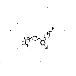 O=C(OC(F)(C(F)F)C(F)(F)F)N1CCN(Cc2ccc(Cl)cc2N2CCN(CCF)CC2)CC1